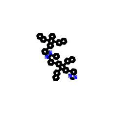 c1ccc(-c2nc3c(-c4ccc5c(-c6ccc7ccccc7c6)c6ccccc6c(-c6ccc7ccccc7c6)c5c4)cccc3nc2-c2cccc(-c3ccc4c(-c5ccc6ccccc6c5)c5cc(-c6cccc7nccnc67)ccc5c(-c5ccc6ccccc6c5)c4c3)c2)cc1